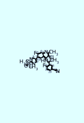 Cc1nc2cc(F)c(-c3cnc(P(C)(C)=O)nc3)cc2c(NC(C)c2cc(C#N)ccc2F)c1Cl